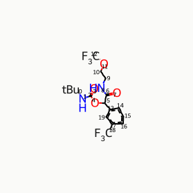 CC(C)(C)NC(=O)OC(C(=O)NCCOC(F)(F)F)c1cccc(C(F)(F)F)c1